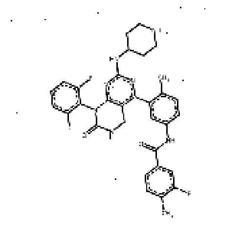 Cc1ccc(C(=O)Nc2ccc(C)c(-c3nc(NC4CCNCC4)nc4c3CNC(=O)N4c3c(F)cccc3F)c2)cc1F